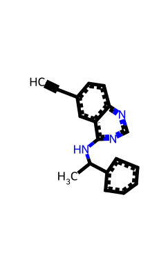 C#Cc1ccc2ncnc(NC(C)c3ccccc3)c2c1